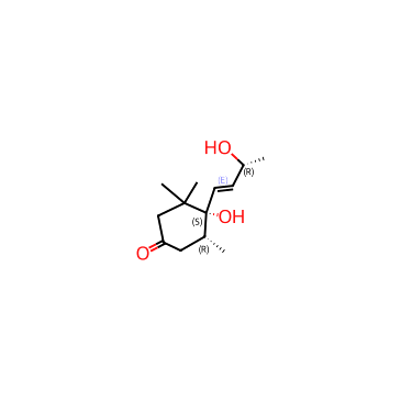 C[C@@H]1CC(=O)CC(C)(C)[C@@]1(O)/C=C/[C@@H](C)O